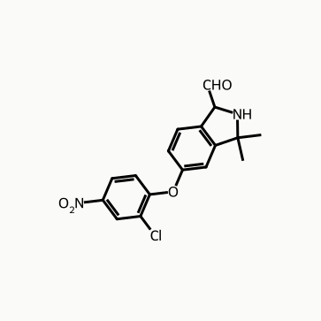 CC1(C)NC(C=O)c2ccc(Oc3ccc([N+](=O)[O-])cc3Cl)cc21